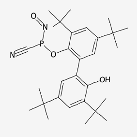 CC(C)(C)c1cc(-c2cc(C(C)(C)C)cc(C(C)(C)C)c2OP(C#N)N=O)c(O)c(C(C)(C)C)c1